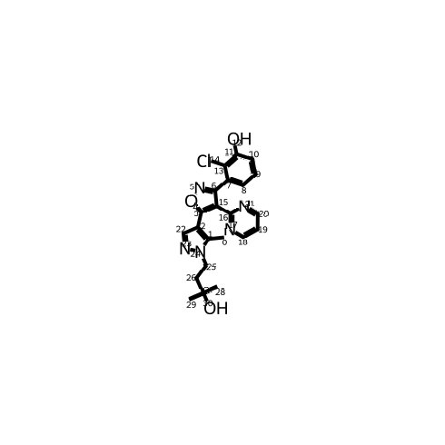 Cc1c(-c2onc(-c3cccc(O)c3Cl)c2-c2ncccn2)cnn1CCC(C)(C)O